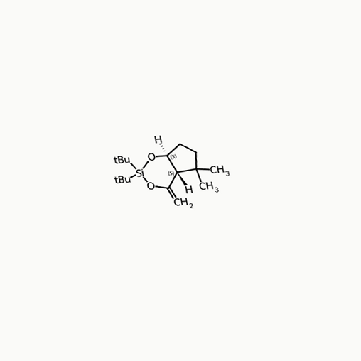 C=C1O[Si](C(C)(C)C)(C(C)(C)C)O[C@H]2CCC(C)(C)[C@H]12